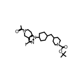 CC(=O)N1CCc2c(c(I)nn2C2CCC(CC3CCN(C(=O)OC(C)(C)C)CC3)CC2)C1